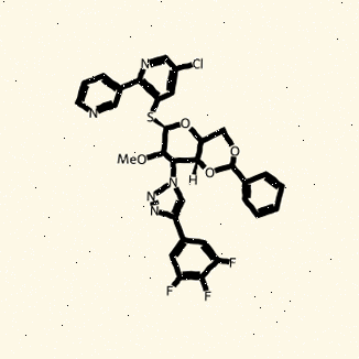 COC1C(n2cc(-c3cc(F)c(F)c(F)c3)nn2)[C@H]2OC(c3ccccc3)OCC2O[C@@H]1Sc1cc(Cl)cnc1-c1cccnc1